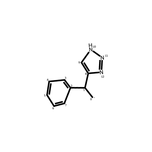 [CH2]C(c1ccccc1)c1c[nH]nn1